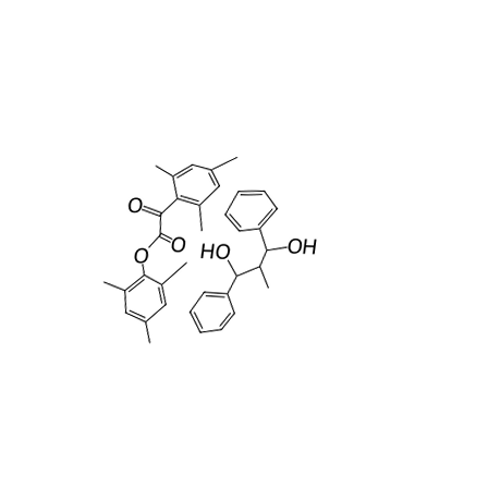 CC(C(O)c1ccccc1)C(O)c1ccccc1.Cc1cc(C)c(OC(=O)C(=O)c2c(C)cc(C)cc2C)c(C)c1